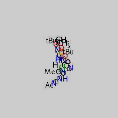 COc1nc(-c2ccnc(-c3cccc(NC(=O)c4ncc(CN(CCO[Si](C)(C)C(C)(C)C)C(=O)OC(C)(C)C)s4)c3C)c2Cl)ccc1CNC1CCN(C(C)=O)CC1